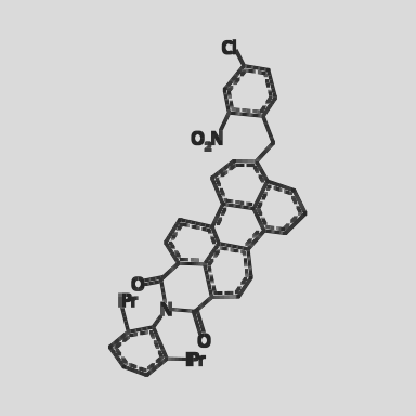 CC(C)c1cccc(C(C)C)c1N1C(=O)c2ccc3c4cccc5c(Cc6ccc(Cl)cc6[N+](=O)[O-])ccc(c6ccc(c2c36)C1=O)c54